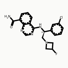 NC(=O)c1cccc2c(N[C@H](CN3CC(F)C3)c3cccc(Cl)c3)ncnc12